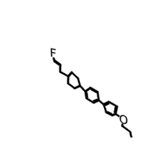 CCCOc1ccc(-c2ccc(C3CCC(C/C=C/F)CC3)cc2)cc1